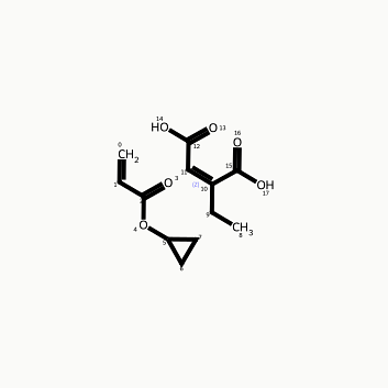 C=CC(=O)OC1CC1.CC/C(=C/C(=O)O)C(=O)O